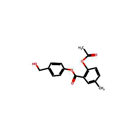 CC(=O)Oc1ccc(C)cc1C(=O)Oc1ccc(CO)cc1